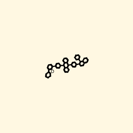 c1ccc(-c2c(-c3ccc(-c4c5ccccc5c(-c5ccc(-c6cccc7c6oc6ccccc67)cc5)c5ccccc45)cc3)ccc3ccccc23)cc1